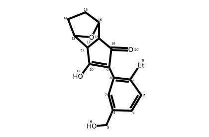 CCc1ccc(CO)cc1C1=C(O)C2C3CCC(O3)C2C1=O